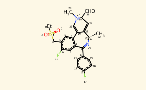 CCS(=O)(=O)Cc1cc2c(cc1F)C(c1ccc(F)cc1)=N[C@@H](C)C1=CC(C=O)N(C)C=C12